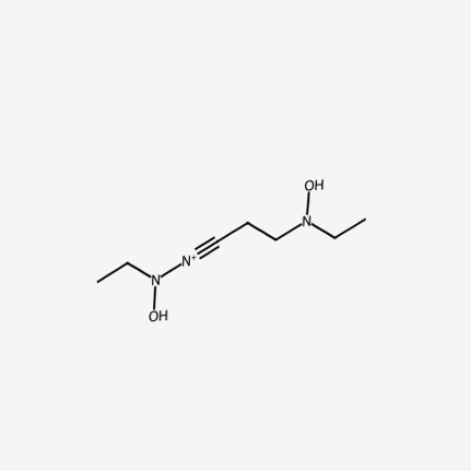 CCN(O)CCC#[N+]N(O)CC